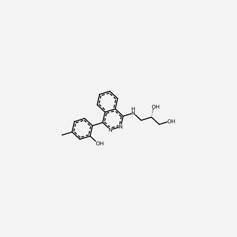 Cc1ccc(-c2nnc(NC[C@H](O)CO)c3ccccc23)c(O)c1